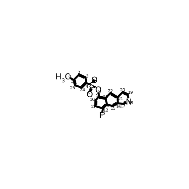 Cc1ccc(S(=O)(=O)Oc2ccc(F)c3cc4cnccc4cc23)cc1